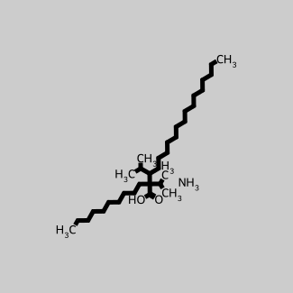 CCCCCCCCCCCCCCCC(C(C)C)C(CCCCCCCCCC)(C(=O)O)C(C)C.N